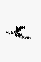 CCOCCN(c1ccnc(NC(=O)c2ccc(CCN3CCC(O)CC3)cc2)c1)c1ccc2c(ccn2C(=O)NC)c1